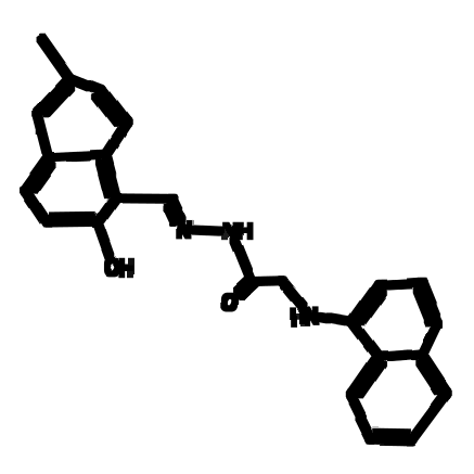 Cc1ccc2c(/C=N/NC(=O)CNc3cccc4ccccc34)c(O)ccc2c1